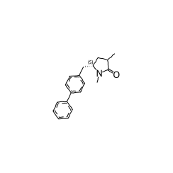 CC1C[C@@H](Cc2ccc(-c3ccccc3)cc2)N(C)C1=O